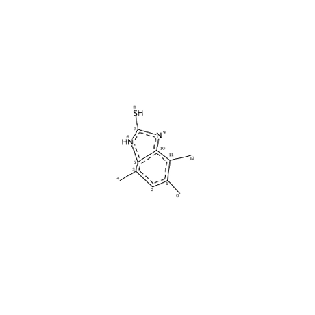 Cc1cc(C)c2[nH]c(S)nc2c1C